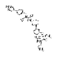 CC(C)(Oc1cccc(N2CCC[C@@H](NC(=O)N(Cc3ccc(-c4cn[nH]c4)cc3)C3CC3)C2)c1)C(=O)NCCN